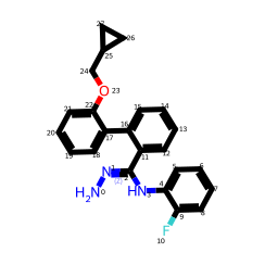 N/N=C(\Nc1ccccc1F)c1ccccc1-c1ccccc1OCC1CC1